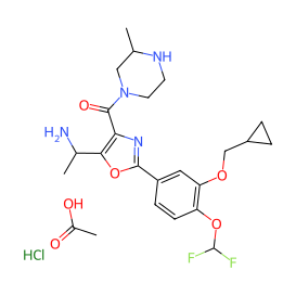 CC(=O)O.CC1CN(C(=O)c2nc(-c3ccc(OC(F)F)c(OCC4CC4)c3)oc2C(C)N)CCN1.Cl